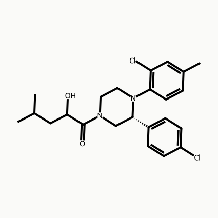 Cc1ccc(N2CCN(C(=O)C(O)CC(C)C)C[C@H]2c2ccc(Cl)cc2)c(Cl)c1